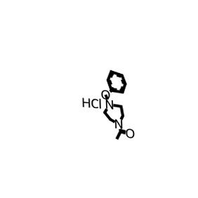 CC(=O)N1CCN(Oc2ccccc2)CC1.Cl